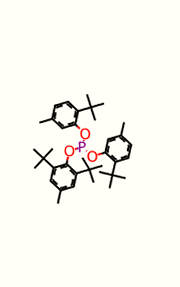 Cc1ccc(C(C)(C)C)c(OP(Oc2cc(C)ccc2C(C)(C)C)Oc2c(C(C)(C)C)cc(C)cc2C(C)(C)C)c1